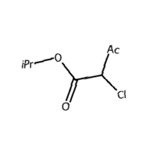 CC(=O)C(Cl)C(=O)OC(C)C